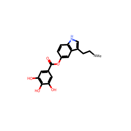 CNCCc1c[nH]c2ccc(OC(=O)c3cc(O)c(O)c(O)c3)cc12